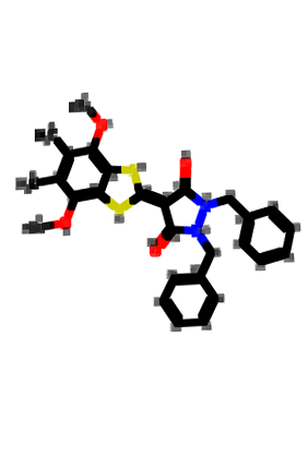 CCCCOc1c(C)c(C)c(OCCCC)c2c1SC(=C1C(=O)N(Cc3ccccc3)N(Cc3ccccc3)C1=O)S2